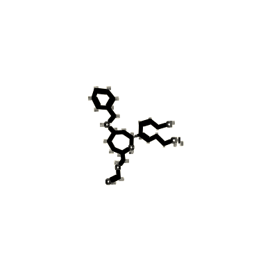 CCC/C=C(\C=C/CCl)[C@H]1CC(OCc2ccccc2)CCC(COC=O)O1